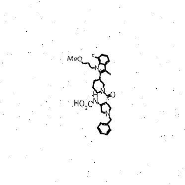 COCCCn1c(C2CCCN(C(=O)[C@@H]3CN(Cc4ccccc4)C[C@H]3NC(=O)O)C2)c(C)c2cccc(F)c21